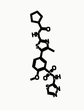 COc1ccc(-c2sc(NC(=O)C3CCCC3)nc2C)cc1S(=O)(=O)Nc1nncs1